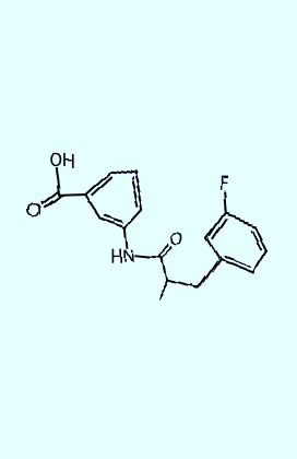 CC(Cc1cccc(F)c1)C(=O)Nc1cccc(C(=O)O)c1